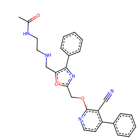 CC(=O)NCCNCc1oc(COc2nccc(-c3ccccc3)c2C#N)nc1-c1ccccc1